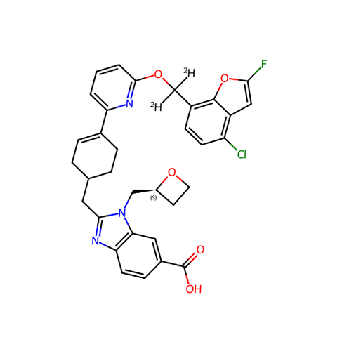 [2H]C([2H])(Oc1cccc(C2=CCC(Cc3nc4ccc(C(=O)O)cc4n3C[C@@H]3CCO3)CC2)n1)c1ccc(Cl)c2cc(F)oc12